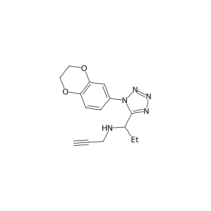 C#CCNC(CC)c1nnnn1-c1ccc2c(c1)OCCO2